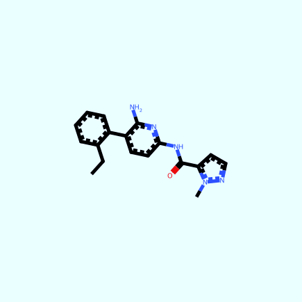 CCc1ccccc1-c1ccc(NC(=O)c2ccnn2C)nc1N